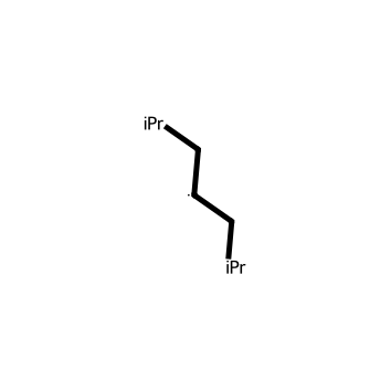 [CH2]C(C)C[CH]CC(C)C